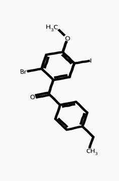 CCc1ccc(C(=O)c2cc(I)c(OC)cc2Br)cc1